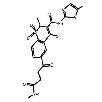 CNC(=O)CCC(=O)c1ccc2c(c1)C(O)=C(C(=O)Nc1ncc(C)s1)N(C)S2(=O)=O